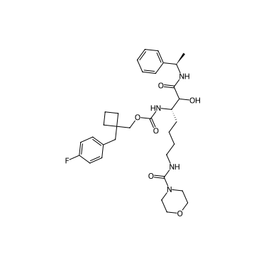 C[C@@H](NC(=O)C(O)[C@H](CCCCNC(=O)N1CCOCC1)NC(=O)OCC1(Cc2ccc(F)cc2)CCC1)c1ccccc1